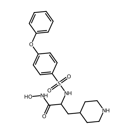 O=C(NO)C(CC1CCNCC1)NS(=O)(=O)c1ccc(Oc2ccccc2)cc1